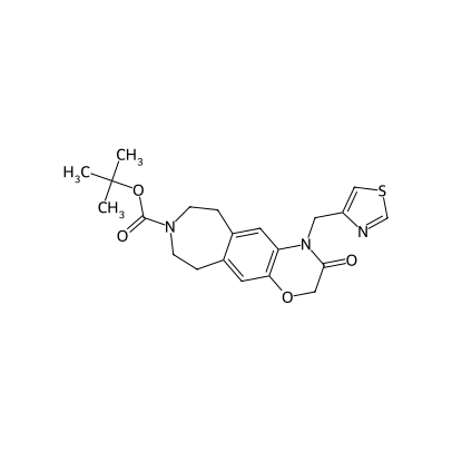 CC(C)(C)OC(=O)N1CCc2cc3c(cc2CC1)N(Cc1cscn1)C(=O)CO3